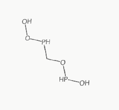 OOPCOPO